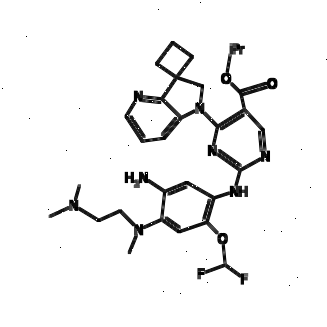 CC(C)OC(=O)c1cnc(Nc2cc(N)c(N(C)CCN(C)C)cc2OC(F)F)nc1N1CC2(CCC2)c2ncccc21